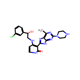 Cc1nc(N2CCNCC2)nc2[nH]c(-c3c(NC[C@H](O)c4cccc(Cl)c4)cc[nH]c3=O)nc12